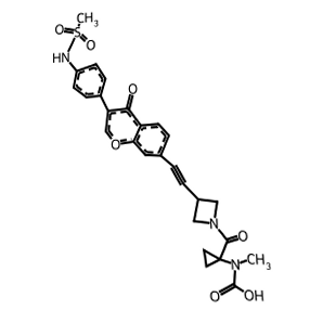 CN(C(=O)O)C1(C(=O)N2CC(C#Cc3ccc4c(=O)c(-c5ccc(NS(C)(=O)=O)cc5)coc4c3)C2)CC1